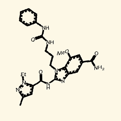 CCn1nc(C)cc1C(=O)Nc1nc2cc(C(N)=O)cc(OC)c2n1CCCNC(=O)Nc1ccccc1